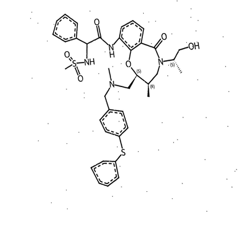 C[C@@H]1CN([C@@H](C)CO)C(=O)c2cccc(NC(=O)C(NS(C)(=O)=O)c3ccccc3)c2O[C@@H]1CN(C)Cc1ccc(Sc2ccccc2)cc1